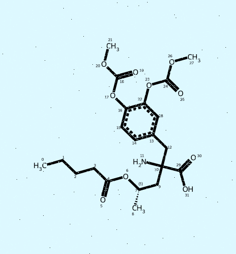 CCCCC(=O)O[C@@H](C)CC(N)(Cc1ccc(OC(=O)OC)c(OC(=O)OC)c1)C(=O)O